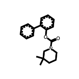 CC1(C)CCCN(C(=O)Oc2ccccc2-c2ccccc2)C1